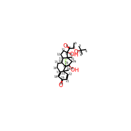 CC(OC(C)(C)C)C(=O)C1(O)CCC2C3CCC4=CC(=O)C=CC4(C)C3(F)C(O)CC21C